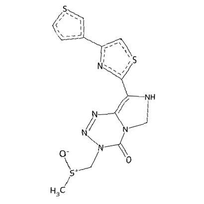 C[S+]([O-])CN1N=NC2=C(c3nc(-c4ccsc4)cs3)NCN2C1=O